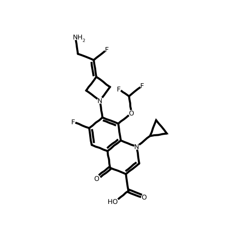 NCC(F)=C1CN(c2c(F)cc3c(=O)c(C(=O)O)cn(C4CC4)c3c2OC(F)F)C1